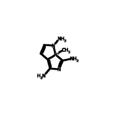 C[N+]12C(N)=NC(N)=C1C=CN2N